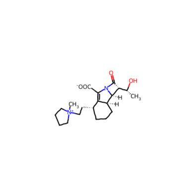 C[C@@H](O)[C@H]1C(=O)N2C(C(=O)[O-])=C3[C@@H](CC[N+]4(C)CCCC4)CCC[C@@H]3[C@H]12